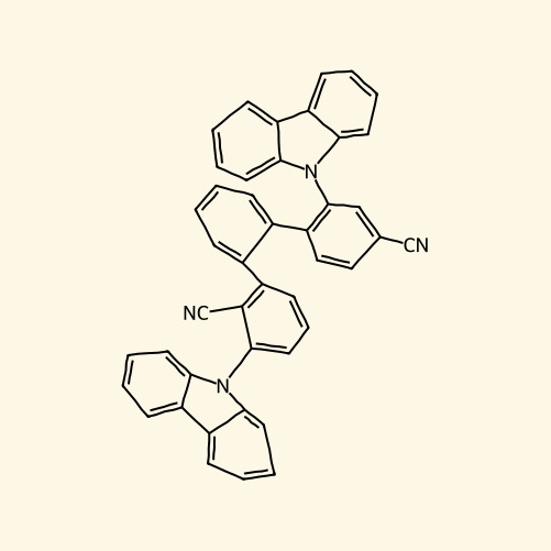 N#Cc1ccc(-c2ccccc2-c2cccc(-n3c4ccccc4c4ccccc43)c2C#N)c(-n2c3ccccc3c3ccccc32)c1